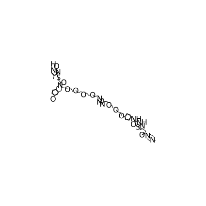 COc1ccc2c(c1)C[C@H](COCCOCCOCCOCCn1cc(COCCOCCOc3ccc(NC(=O)Nc4nc(CC(=O)N5CCN(C)CC5)cs4)cc3)nn1)N(C(=O)CSc1nc(=O)[nH]cc1C)C2